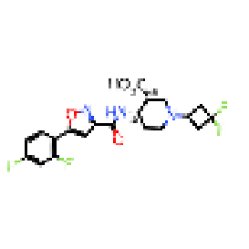 O=C(N[C@H]1CCN(C2CC(F)(F)C2)C[C@@H]1C(=O)O)c1cc(-c2ccc(F)cc2F)on1